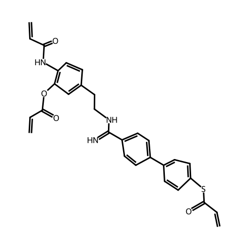 C=CC(=O)Nc1ccc(CCNC(=N)c2ccc(-c3ccc(SC(=O)C=C)cc3)cc2)cc1OC(=O)C=C